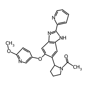 COc1ccc(Oc2cc3nc(-c4ccccn4)[nH]c3cc2C2CCCN2C(C)=O)cn1